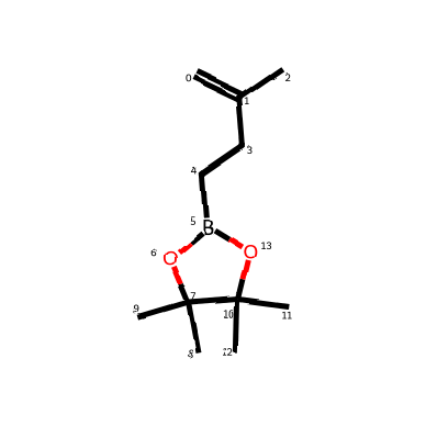 C=C(C)CCB1OC(C)(C)C(C)(C)O1